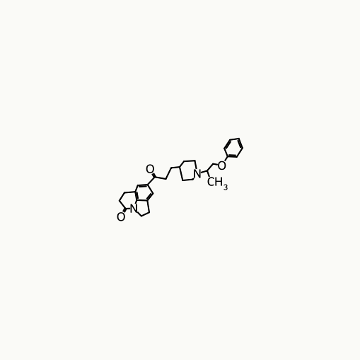 CC(COc1ccccc1)N1CCC(CCC(=O)c2cc3c4c(c2)CCN4C(=O)CC3)CC1